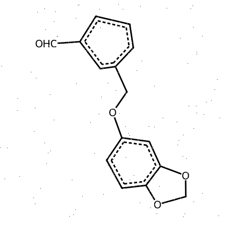 O=Cc1cccc(COc2ccc3c(c2)OCO3)c1